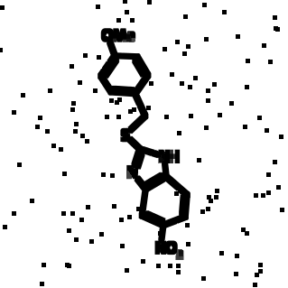 COc1ccc(CSc2nc3cc([N+](=O)[O-])ccc3[nH]2)cc1